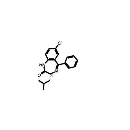 CC(C)C[C@H]1N=C(c2ccccc2)c2cc(Cl)ccc2NC1=O